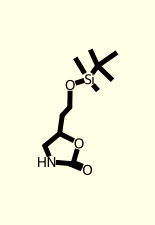 CC(C)(C)[Si](C)(C)OCCC1CNC(=O)O1